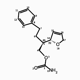 NC(=O)OC[C@@H](CCc1ccccc1)[C@@H]1C=CCO1